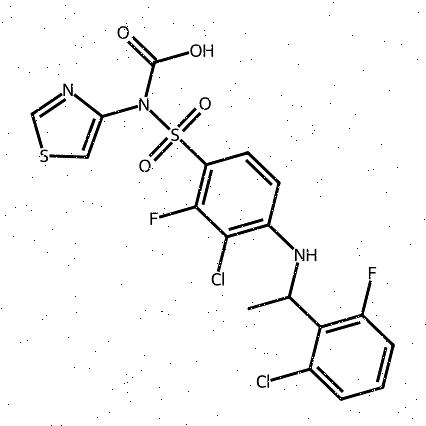 CC(Nc1ccc(S(=O)(=O)N(C(=O)O)c2cscn2)c(F)c1Cl)c1c(F)cccc1Cl